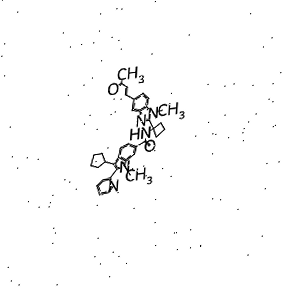 CC(=O)/C=C/c1ccc2c(c1)nc(C1(NC(=O)c3ccc4c(C5CCCC5)c(-c5ccccn5)n(C)c4c3)CCC1)n2C